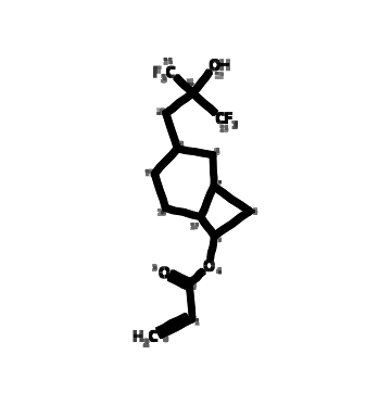 C=CC(=O)OC1CC2CC(CC(O)(C(F)(F)F)C(F)(F)F)CCC21